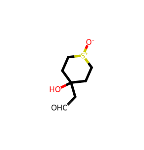 O=CCC1(O)CC[S+]([O-])CC1